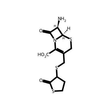 N[C@@H]1C(=O)N2C(C(=O)O)=C(CSC3CCSC3=O)CS[C@H]12